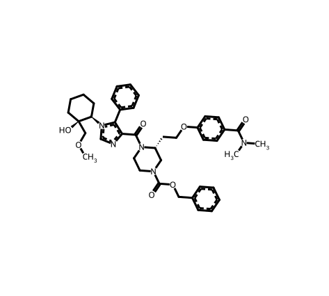 COC[C@]1(O)CCCC[C@H]1n1cnc(C(=O)N2CCN(C(=O)OCc3ccccc3)C[C@H]2CCOc2ccc(C(=O)N(C)C)cc2)c1-c1ccccc1